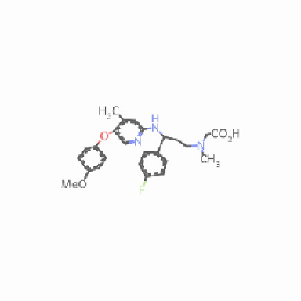 COc1ccc(Oc2cnc(NC(CCN(C)CC(=O)O)c3ccc(F)cc3)cc2C)cc1